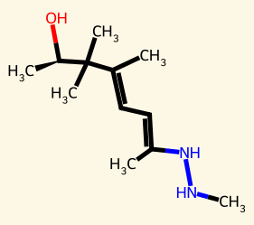 CNN/C(C)=C/C=C(\C)C(C)(C)[C@@H](C)O